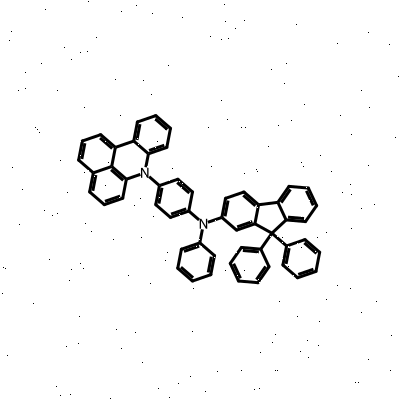 c1ccc(N(c2ccc(N3c4ccccc4-c4cccc5cccc3c45)cc2)c2ccc3c(c2)C(c2ccccc2)(c2ccccc2)c2ccccc2-3)cc1